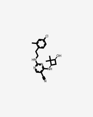 Cc1cc(Cl)ccc1CCNc1ncc(C#N)c(N[C@@H]2C[C@H](O)C2(C)C)n1